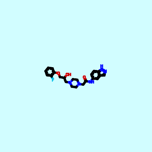 O=C(CN1CCN(CC(O)COc2ccccc2F)CC1)Nc1ccc2[nH]ncc2c1